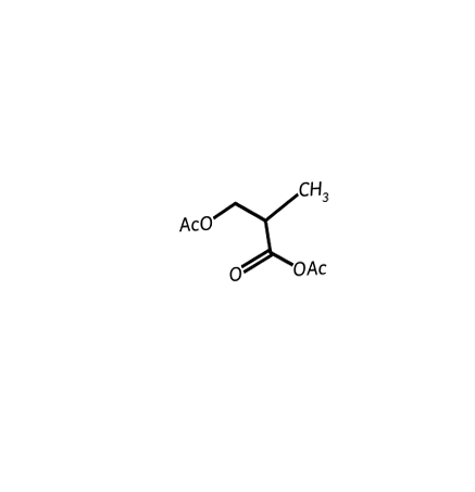 CC(=O)OCC(C)C(=O)OC(C)=O